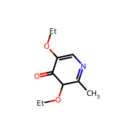 CCOC1=CN=C(C)C(OCC)C1=O